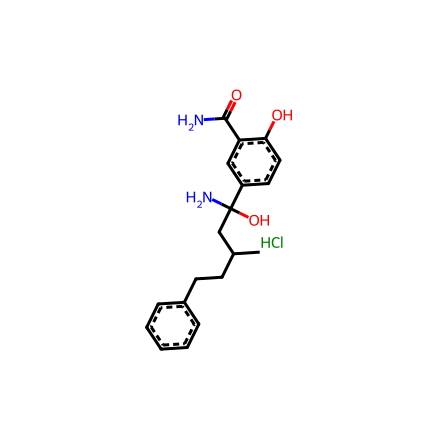 CC(CCc1ccccc1)CC(N)(O)c1ccc(O)c(C(N)=O)c1.Cl